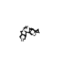 CC(C)N1CC2(CC2)OCC1C1C2COCC2CN1C(C)C